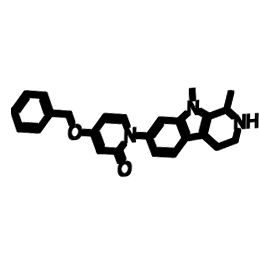 CC1NCCc2c1n(C)c1cc(-n3ccc(OCc4ccccc4)cc3=O)ccc21